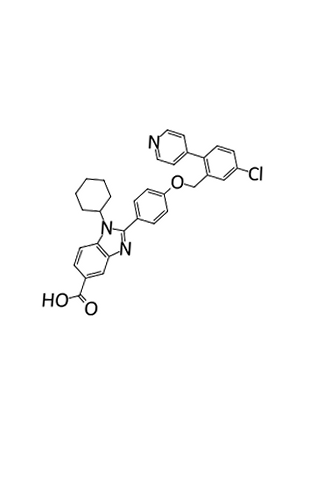 O=C(O)c1ccc2c(c1)nc(-c1ccc(OCc3cc(Cl)ccc3-c3ccncc3)cc1)n2C1CCCCC1